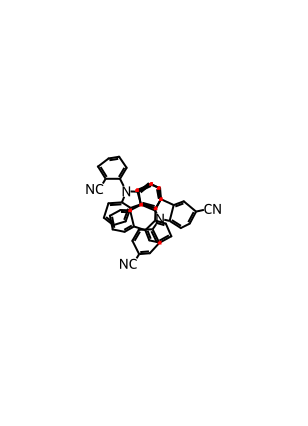 N#Cc1ccc(-n2c3ccc(C#N)cc3c3cccc(-c4ccccc4-c4ccccc4-c4cccc5c4c4ccccc4n5-c4ccccc4C#N)c32)cc1